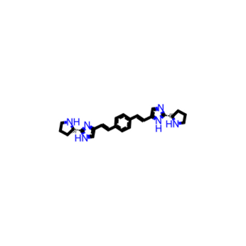 C(=Cc1c[nH]c([C@@H]2CCCN2)n1)c1ccc(C=Cc2cnc([C@@H]3CCCN3)[nH]2)cc1